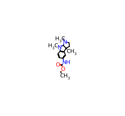 CCOC(=O)Nc1ccc2c(c1)C1(C)CCN(C)C1N2C